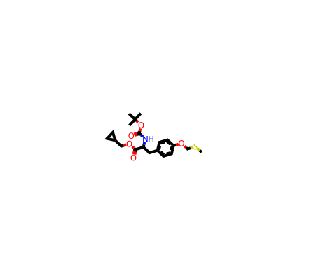 CSCOc1ccc(CC(NC(=O)OC(C)(C)C)C(=O)OCC2CC2)cc1